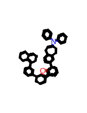 C1=CC2=CCCC(c3cccc(C4CC=Cc5c4oc4c(-c6ccc7c(c6)CCC(N(c6ccccc6)c6ccccc6)=CC7)cccc54)c3)=C2CC1